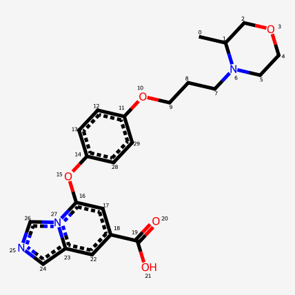 CC1COCCN1CCCOc1ccc(Oc2cc(C(=O)O)cc3cncn23)cc1